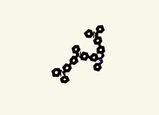 C(=C(\Cc1ccc(-c2ccc(N(c3ccccc3)c3ccccc3)cc2)cc1)c1ccc(-c2ccc(N(c3ccccc3)c3ccc(-c4ccc(N(c5ccccc5)c5ccccc5)cc4)cc3)cc2)cc1)/c1ccccc1